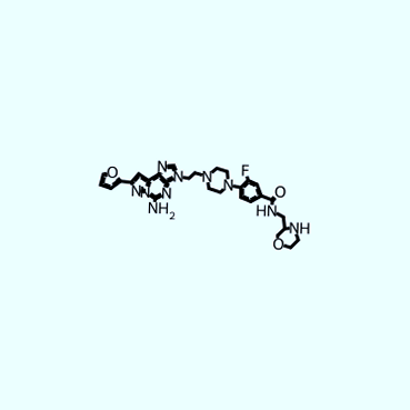 Nc1nc2c(ncn2CCN2CCN(c3ccc(C(=O)NCC4COCCN4)cc3F)CC2)c2cc(-c3ccco3)nn12